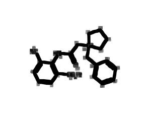 CCOC(=O)c1cccc(C#N)c1NC(=O)C[N+]1(Cc2ccccc2)CCCC1